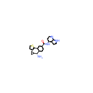 N[C@@H](c1ccc(C(=O)Nc2ccnc3[nH]ccc23)cc1-c1cccs1)C1CC1